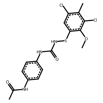 COc1c(SNC(=O)Nc2ccc(NC(C)=O)cc2)cc(Cl)c(C)c1Cl